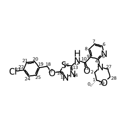 C[C@@H]1CN(c2ncccc2C(=O)Nc2nnc(OCc3ccc(Cl)cc3)s2)CCO1